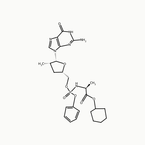 C[C@H](NP(=O)(OC[C@@H]1C[C@H](C)[C@H](n2cnc3c(=O)[nH]c(N)nc32)O1)Oc1ccccc1)C(=O)OC1CCCCC1